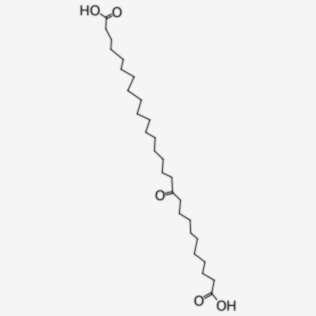 O=C(O)CCCCCCCCCCCCCCCCC(=O)CCCCCCCCCC(=O)O